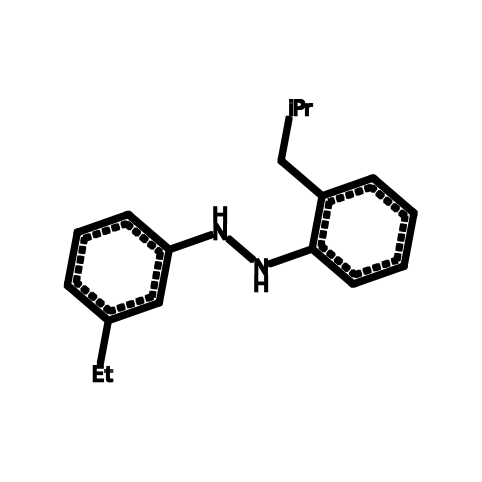 CCc1cccc(NNc2ccccc2CC(C)C)c1